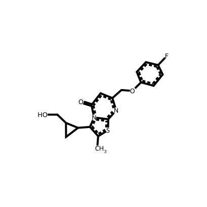 Cc1sc2nc(COc3ccc(F)cc3)cc(=O)n2c1C1CC1CO